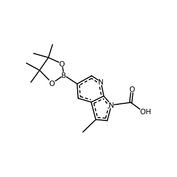 Cc1cn(C(=O)O)c2ncc(B3OC(C)(C)C(C)(C)O3)cc12